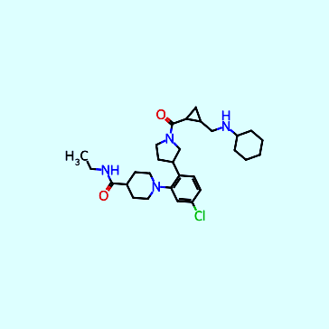 CCNC(=O)C1CCN(c2cc(Cl)ccc2C2CCN(C(=O)C3CC3CNC3CCCCC3)C2)CC1